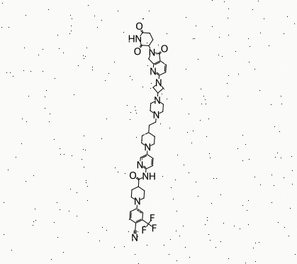 N#Cc1ccc(N2CCC(C(=O)Nc3ccc(N4CCC(CCN5CCN(C6CN(c7ccc8c(n7)CN(C7CCC(=O)NC7=O)C8=O)C6)CC5)CC4)cn3)CC2)cc1C(F)(F)F